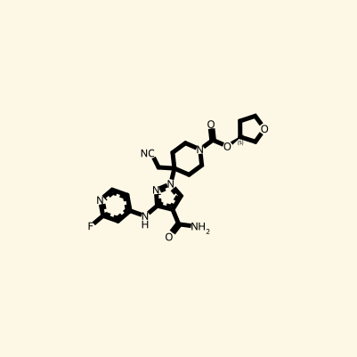 N#CCC1(n2cc(C(N)=O)c(Nc3ccnc(F)c3)n2)CCN(C(=O)O[C@H]2CCOC2)CC1